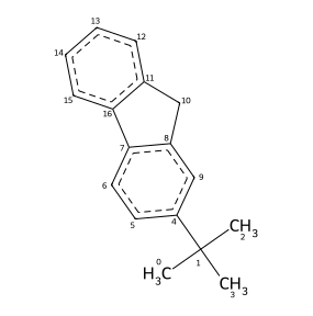 CC(C)(C)c1ccc2c(c1)Cc1ccccc1-2